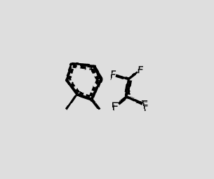 Cc1ccccc1C.FC(F)=C(F)F